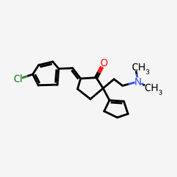 CN(C)CCC1(C2=CCCC2)CC/C(=C\c2ccc(Cl)cc2)C1=O